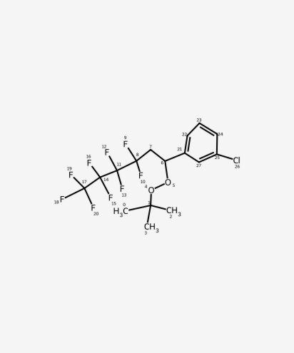 CC(C)(C)OOC(CC(F)(F)C(F)(F)C(F)(F)C(F)(F)F)c1cccc(Cl)c1